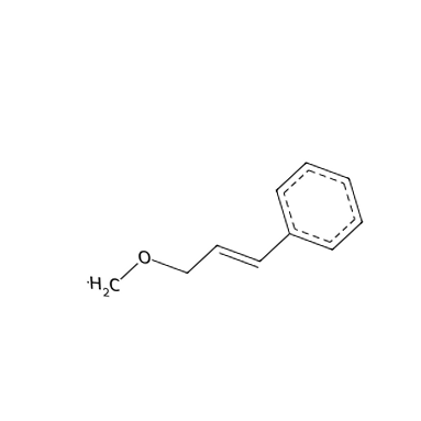 [CH2]OCC=Cc1ccccc1